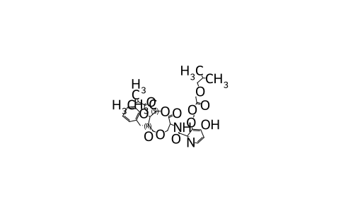 CC(C)COCC(=O)OCOc1c(O)ccnc1C(=O)NC1COC(=O)[C@H](Cc2ccccc2)C(OC(=O)C(C)C)[C@H](C)OC1=O